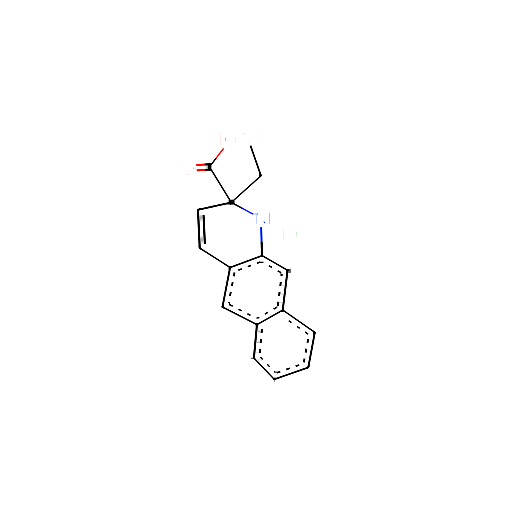 CCC1(C(=O)O)C=Cc2cc3ccccc3cc2N1.Cl